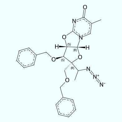 Cc1cn2c(nc1=O)O[C@@H]1[C@H]2O[C@@](COCc2ccccc2)(C(C)N=[N+]=[N-])[C@H]1OCc1ccccc1